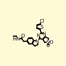 CCNC(=O)Cc1ccc2c(c1)CCN2c1nc(-c2ccc(Cl)s2)nc2c1CS(=O)(=O)C2